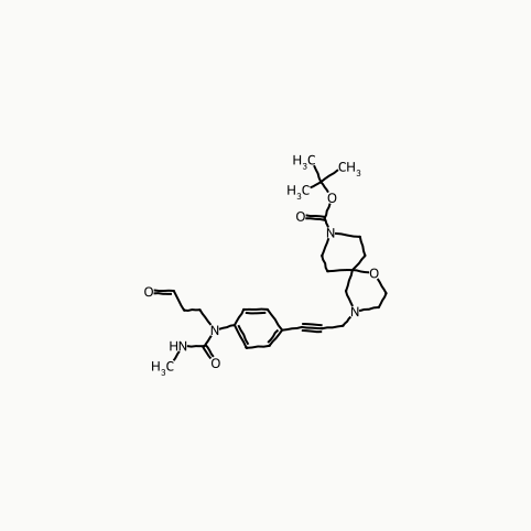 CNC(=O)N(CCC=O)c1ccc(C#CCN2CCOC3(CCN(C(=O)OC(C)(C)C)CC3)C2)cc1